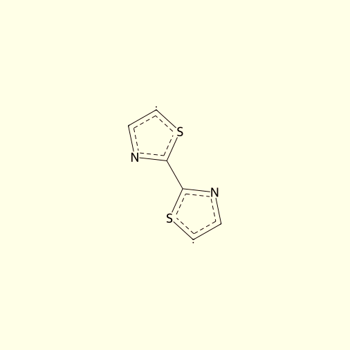 [c]1cnc(-c2nc[c]s2)s1